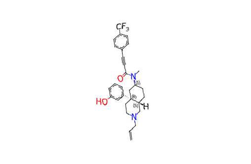 C=CCN1CC[C@@]2(c3cccc(O)c3)C[C@@H](N(C)C(=O)C#Cc3ccc(C(F)(F)F)cc3)CC[C@@H]2C1